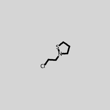 ClCCN1CCCS1